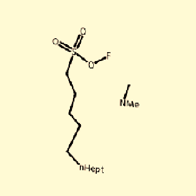 CCCCCCCCCCCCS(=O)(=O)OF.CNC